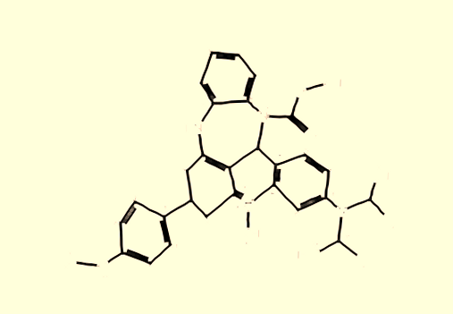 COC(=O)N1c2ccccc2NC2=C(C(=O)CC(c3ccc(OC)cc3)C2)C1c1ccc(N(C(C)C)C(C)C)cc1OC